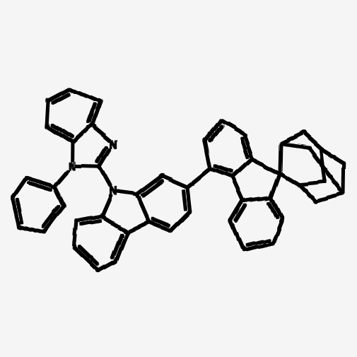 c1ccc(-n2c(-n3c4ccccc4c4ccc(-c5cccc6c5-c5ccccc5C65C6CC7CC(C6)CC5C7)cc43)nc3ccccc32)cc1